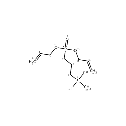 C=CCOP(=O)(CCC[Si](C)(F)F)OCC=C